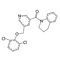 O=C(c1cncc(COc2c(Cl)cccc2Cl)c1)N1CCCc2ccccc21